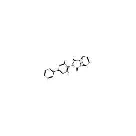 Cc1cc(-c2ccccc2)cc(C)c1C1C(=O)C2C3C=CC(CC3)C2C1=O